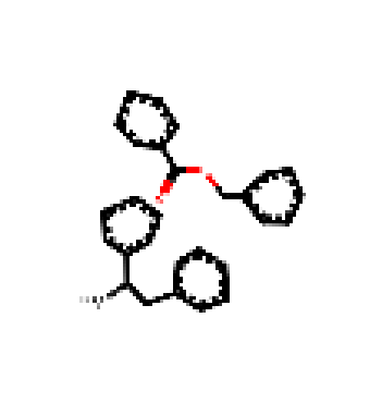 O=C(O)C(Cc1ccccc1)c1ccccc1.O=C(OCc1ccccc1)c1ccccc1